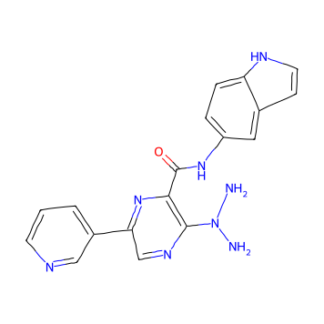 NN(N)c1ncc(-c2cccnc2)nc1C(=O)Nc1ccc2[nH]ccc2c1